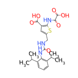 CC(C)c1cccc(C(C)C)c1NC(=O)NCc1cc(C(=O)O)c(NC(=O)C(=O)O)s1